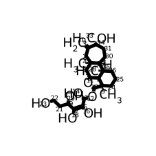 C=C1C[C@@]2(C)CCC3[C@](C)(C(=O)OC(O)/C(O)=C(/O)C(O)CCO)CCC[C@@]3(C)[C@@H]2CC[C@@]1(C)O